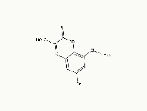 CCCCCCOc1cc(Br)cc2cc(C(=O)O)c(=O)oc12